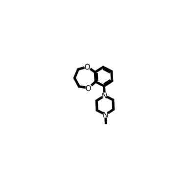 CN1CCN(c2cccc3c2OCCCO3)CC1